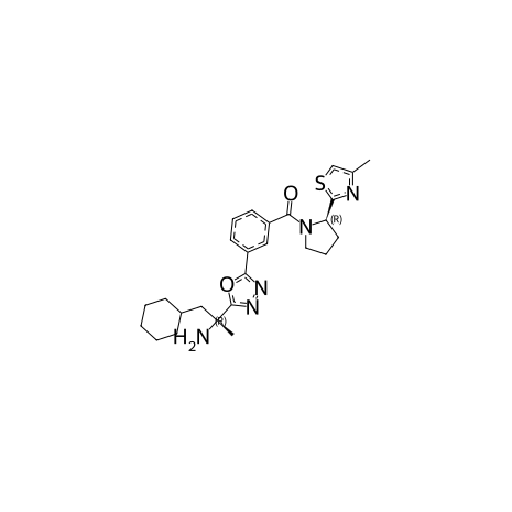 Cc1csc([C@H]2CCCN2C(=O)c2cccc(-c3nnc([C@](C)(N)CC4CCCCC4)o3)c2)n1